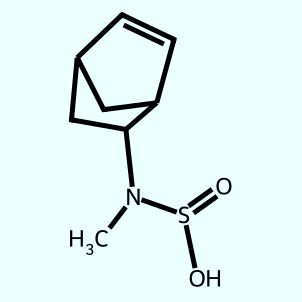 CN(C1CC2C=CC1C2)S(=O)O